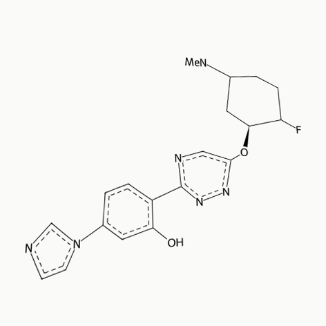 CNC1CCC(F)[C@@H](Oc2cnc(-c3ccc(-n4ccnc4)cc3O)nn2)C1